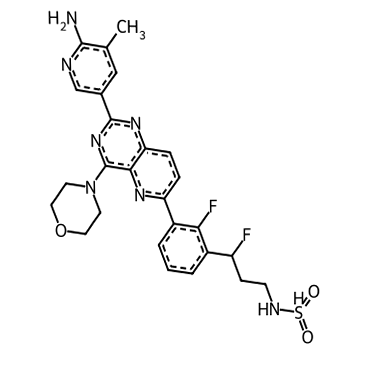 Cc1cc(-c2nc(N3CCOCC3)c3nc(-c4cccc(C(F)CCN[SH](=O)=O)c4F)ccc3n2)cnc1N